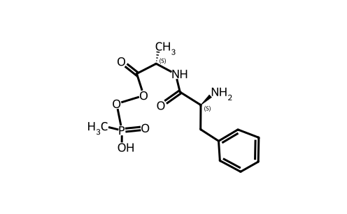 C[C@H](NC(=O)[C@@H](N)Cc1ccccc1)C(=O)OOP(C)(=O)O